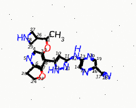 CC(Oc1cnc2c(c1-c1cc(Nc3cnc(C#N)cn3)n[nH]1)OCC2)C1CNC1